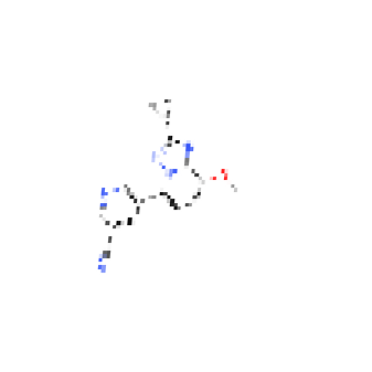 COc1ccc(-c2cncc(C#N)c2)n2nc(C3CC3)nc12